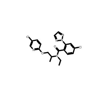 CCN(C(=O)c1ccc(Cl)cc1-n1nccn1)C(C)COc1ccc(Cl)cn1